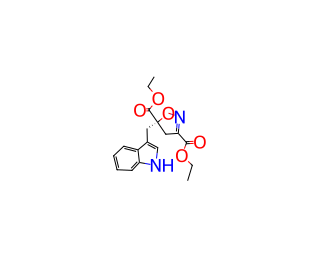 CCOC(=O)C1=NO[C@](Cc2c[nH]c3ccccc23)(C(=O)OCC)C1